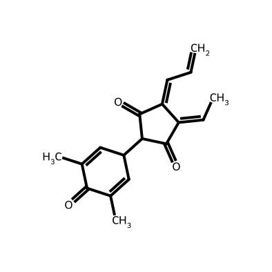 C=C/C=C1/C(=O)C(C2C=C(C)C(=O)C(C)=C2)C(=O)/C1=C/C